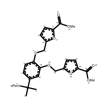 CCCCCC(C)(C)c1ccc(OCc2ccc(C(=O)OC)o2)c(OCc2ccc(C(=O)OC)o2)c1